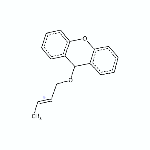 C/C=C/COC1c2ccccc2Oc2ccccc21